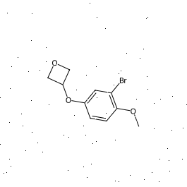 COc1ccc(OC2COC2)cc1Br